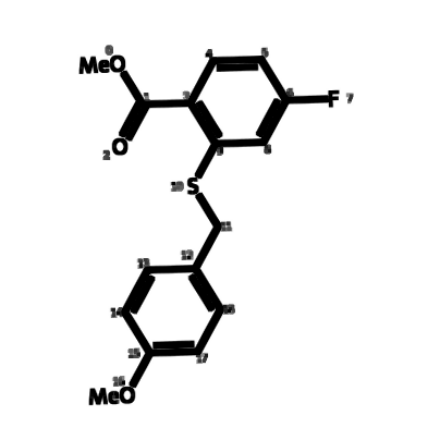 COC(=O)c1ccc(F)cc1SCc1ccc(OC)cc1